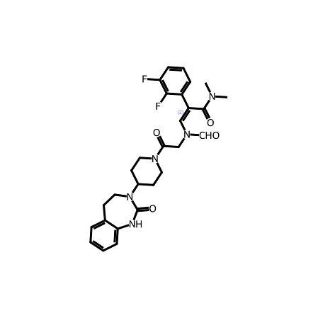 CN(C)C(=O)/C(=C\N(C=O)CC(=O)N1CCC(N2CCc3ccccc3NC2=O)CC1)c1cccc(F)c1F